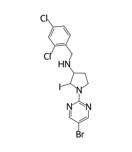 Clc1ccc(CNC2CCN(c3ncc(Br)cn3)C2I)c(Cl)c1